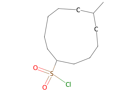 CC1CCCCCC(S(=O)(=O)Cl)CCCC1